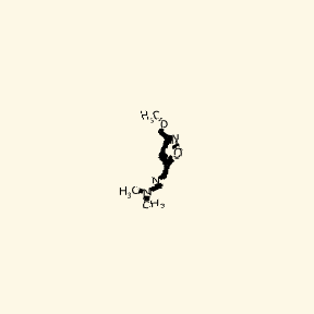 COCc1cc(CN=CN(C)C)on1